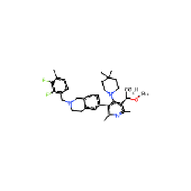 Cc1ccc(CN2CCc3cc(-c4c(C)nc(C)c(C(OC(C)(C)C)C(=O)O)c4N4CCC(C)(C)CC4)ccc3C2)c(F)c1F